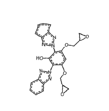 Oc1c(-n2nc3ccccc3n2)c(OCC2CO2)cc(OCC2CO2)c1-n1nc2ccccc2n1